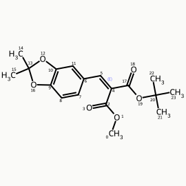 COC(=O)/C(=C\c1ccc2c(c1)OC(C)(C)O2)C(=O)OC(C)(C)C